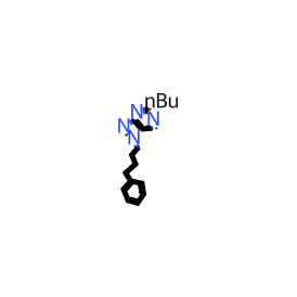 CCCCc1n[c]c2c(ncn2CCCCc2ccccc2)n1